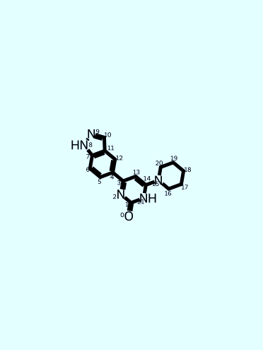 O=c1nc(-c2ccc3[nH]ncc3c2)cc(N2CCCCC2)[nH]1